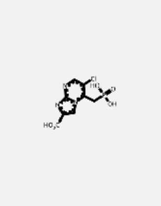 O=C(O)c1cn2c(CP(=O)(O)O)c(Cl)cnc2n1